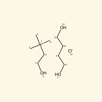 C[N+](C)(C)CCO.OCCCCO.[Cl-]